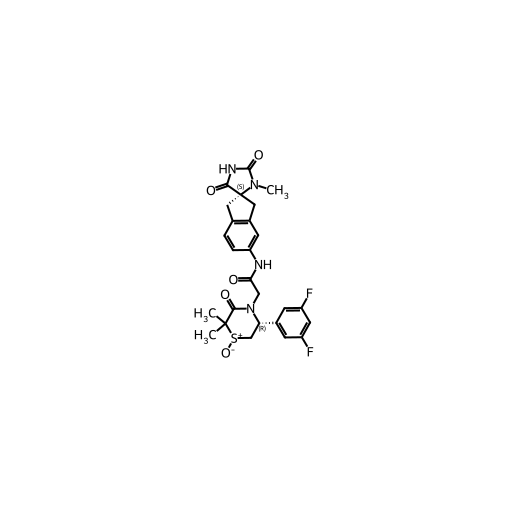 CN1C(=O)NC(=O)[C@@]12Cc1ccc(NC(=O)CN3C(=O)C(C)(C)[S+]([O-])C[C@H]3c3cc(F)cc(F)c3)cc1C2